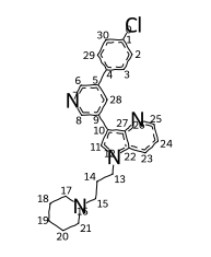 Clc1ccc(-c2cncc(-c3cn(CCCN4CCCCC4)c4cccnc34)c2)cc1